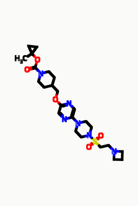 CC1(OC(=O)N2CCC(COc3cnc(N4CCN(S(=O)(=O)CCN5CCC5)CC4)cn3)CC2)CC1